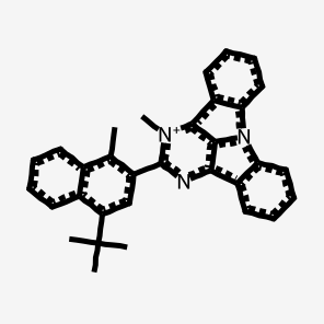 Cc1c(-c2nc3c4ccccc4n4c5ccccc5c(c34)[n+]2C)cc(C(C)(C)C)c2ccccc12